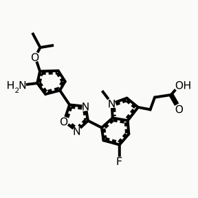 CC(C)Oc1ccc(-c2nc(-c3cc(F)cc4c(CCC(=O)O)cn(C)c34)no2)cc1N